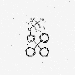 CC(C)(C)[Si](C)(C)Oc1cnn(C(c2ccccc2)(c2ccccc2)c2ccccc2)c1